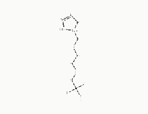 FC(F)(F)COCCOCN1CC=CN1